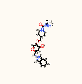 CNC(=O)N1CCC(COc2coc(Cn3cc4ccccc4c3)cc2=O)CC1